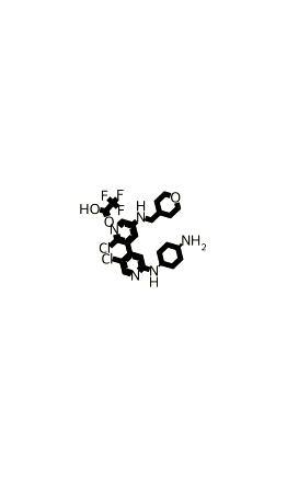 N[C@H]1CC[C@H](Nc2cc(-c3cc(NCC4CCOCC4)cnc3Cl)c(Cl)cn2)CC1.O=C(O)C(F)(F)F